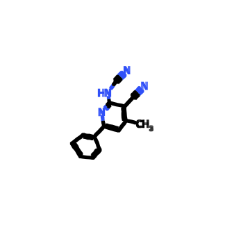 Cc1cc(-c2ccccc2)nc(NC#N)c1C#N